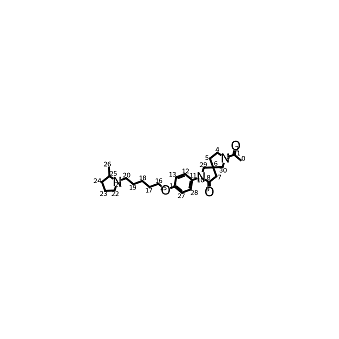 CC(=O)N1CCC2(CC(=O)N(c3ccc(OCCCCCN4CCCC4C)cc3)C2)C1